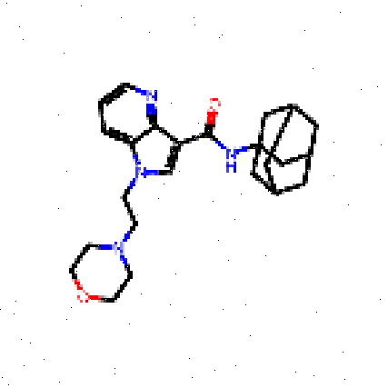 O=C(NC12CC3CC(CC(C3)C1)C2)c1cn(CCN2CCOCC2)c2cccnc12